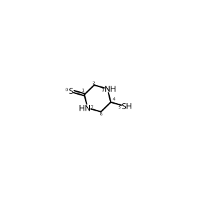 S=C1CNC(S)CN1